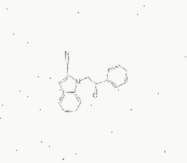 N#Cc1cc2ccccc2n1CC(=O)c1ccccc1